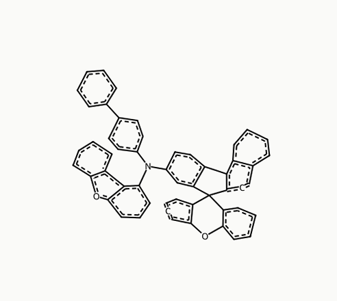 c1ccc(-c2ccc(N(c3ccc4c(c3)C3(c5ccccc5Oc5ccccc53)c3ccc5ccccc5c3-4)c3cccc4oc5ccccc5c34)cc2)cc1